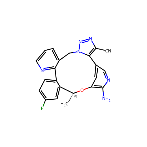 C[C@H]1Oc2cc(cnc2N)-c2c(C#N)nnn2Cc2cccnc2-c2ccc(F)cc21